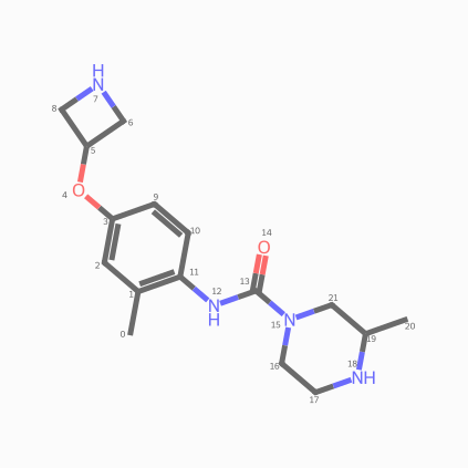 Cc1cc(OC2CNC2)ccc1NC(=O)N1CCNC(C)C1